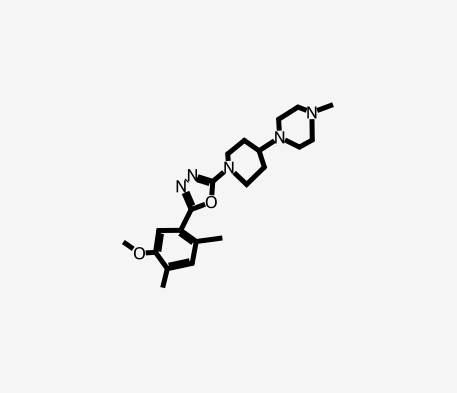 COc1cc(-c2nnc(N3CCC(N4CCN(C)CC4)CC3)o2)c(C)cc1C